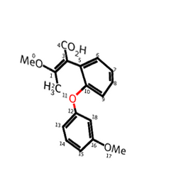 COC(C)=C(C(=O)O)c1ccccc1Oc1cccc(OC)c1